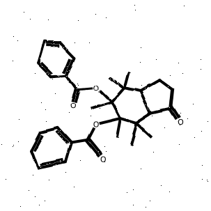 CC1(C)C2CCC(=O)C2C(C)(C)C(C)(OC(=O)c2ccccc2)C1(C)OC(=O)c1ccccc1